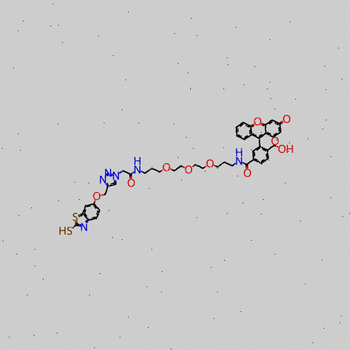 O=C(Cn1cc(COc2ccc3nc(S)sc3c2)nn1)NCCCOCCOCCOCCCNC(=O)c1ccc(C(=O)O)c(-c2c3ccc(=O)cc-3oc3ccccc23)c1